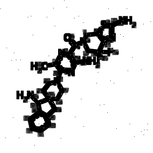 Cc1nc(C(=O)N2Cc3sc(N)nc3C(F)(F)C2)c(N)nc1N1CCC2(CC1)Cc1ccccc1[C@H]2N